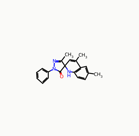 CC1=CC2(Nc3ccc(C)cc31)C(=O)N(c1ccccc1)N=C2C